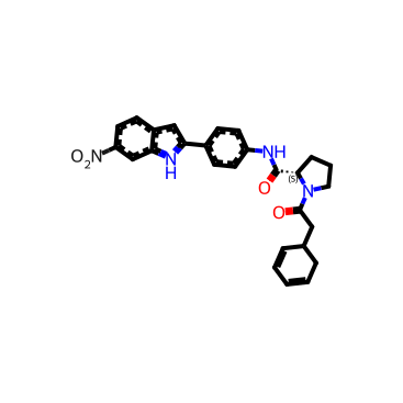 O=C(Nc1ccc(-c2cc3ccc([N+](=O)[O-])cc3[nH]2)cc1)[C@@H]1CCCN1C(=O)CC1C=CC=CC1